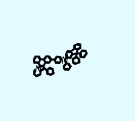 c1ccc(-c2c3c4cc(-c5ccc(N(c6ccccc6)c6ccc7c(c6)C(c6ccccc6)(c6ccccc6)c6ccccc6-7)cc5)ccc4c4ccccc4c3n3ccccc23)cc1